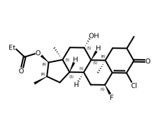 CCC(=O)O[C@@H]1[C@H](C)C[C@H]2[C@@H]3C[C@H](F)C4=C(Cl)C(=O)C(C)C[C@]4(C)[C@H]3[C@@H](O)C[C@]12C